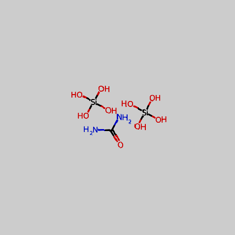 NC(N)=O.O[Si](O)(O)O.O[Si](O)(O)O